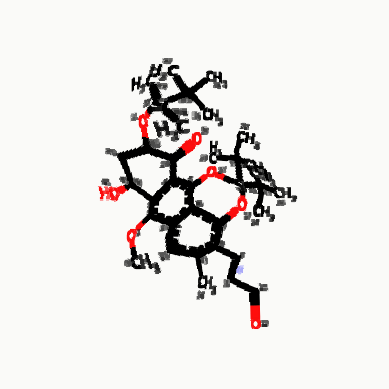 COc1c2c(c3c4c(c(/C=C/C=O)c(C)cc14)O[Si](C(C)(C)C)(C(C)(C)C)O3)C(=O)C(O[Si](C)(C)C(C)(C)C)C[C@@H]2O